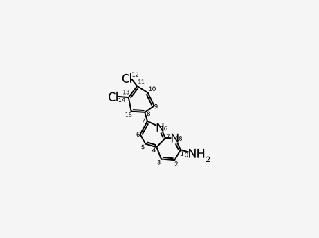 Nc1ccc2ccc(-c3ccc(Cl)c(Cl)c3)nc2n1